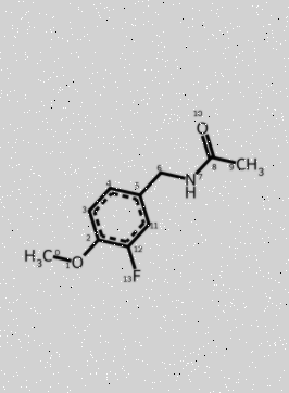 COc1ccc(CNC(C)=O)cc1F